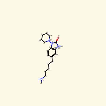 CNCCCCCc1ccc2c(c1)n(C)c(=O)n2N1CCCCC1